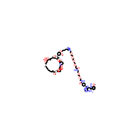 COc1cccc2cc(-c3nc([C@H]4CC[C@H](C(=O)NCCOCCOCCNC(=O)CCOCCOCCOCCOCCn5cc(CCCCO[C@@H]6CC[C@@H](C[C@@H](C)[C@@H]7C[C@@H](OC)[C@H](C)/C=C(\C)[C@@H](O)[C@@H](O)C(=O)[C@H](C)C[C@H](C)/C=C/C=C/C=C(\C)[C@@H](OC)C[C@@H]8CC[C@@H](C)[C@@](O)(O8)C(=O)C(=O)N8CCCC[C@H]8C(=O)O7)C[C@H]6OC)nn5)CC4)n4ncnc(N)c34)[nH]c12